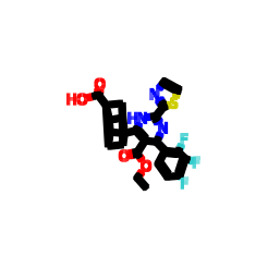 CCOC(=O)C1=C(C23C4C5C2C2C3C4C52C(=O)O)NC(c2nccs2)=NC1c1ccc(F)c(F)c1F